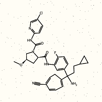 CO[C@@H]1C[C@H](C(=O)Nc2cc(C(N)(CCC3CC3)C3=CC=CC(C#N)=CC3)ccc2F)N(C(=O)Nc2ccc(Cl)cn2)C1